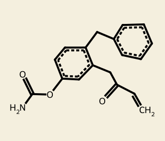 C=CC(=O)Cc1cc(OC(N)=O)ccc1Cc1ccccc1